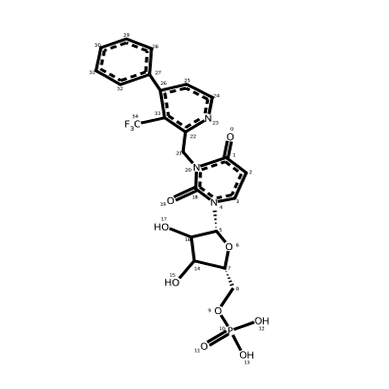 O=c1ccn([C@@H]2O[C@H](COP(=O)(O)O)C(O)C2O)c(=O)n1Cc1nccc(-c2ccccc2)c1C(F)(F)F